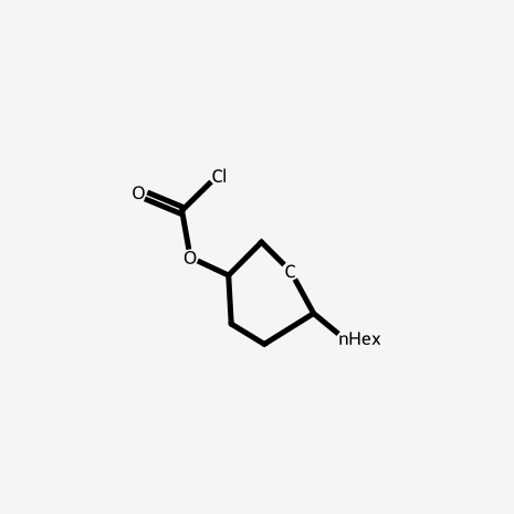 CCCCCCC1CCC(OC(=O)Cl)CC1